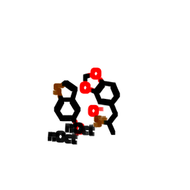 CCCCCCCCOc1ccc2sccc2c1.CCCCCCCC[S+]([O-])C(C)Cc1ccc2c(c1)OCO2